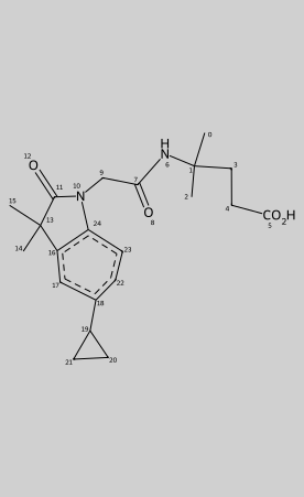 CC(C)(CCC(=O)O)NC(=O)CN1C(=O)C(C)(C)c2cc(C3CC3)ccc21